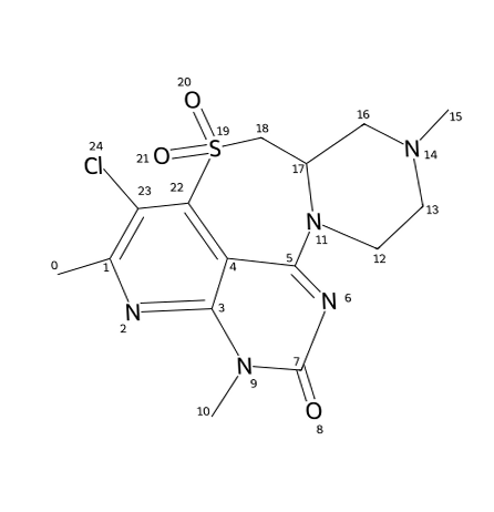 Cc1nc2c3c(nc(=O)n2C)N2CCN(C)CC2CS(=O)(=O)c3c1Cl